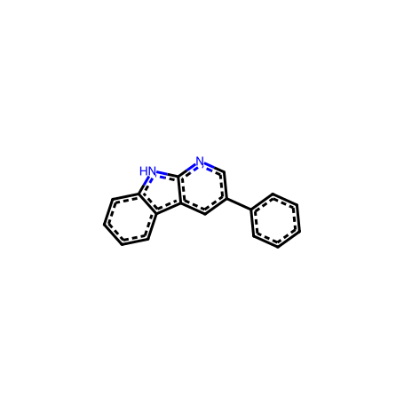 c1ccc(-c2cnc3[nH]c4ccccc4c3c2)cc1